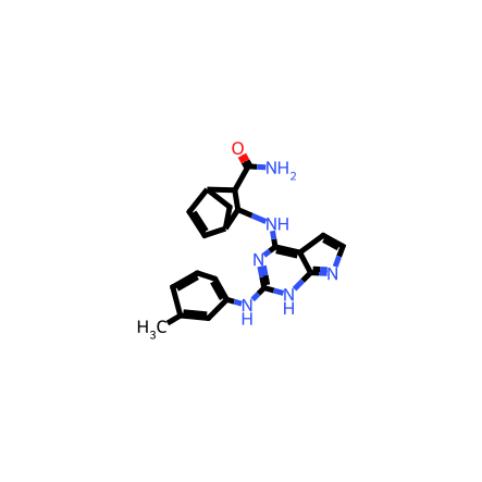 Cc1cccc(Nc2nc(NC3C4C=CC(C4)C3C(N)=O)c3ccnc-3[nH]2)c1